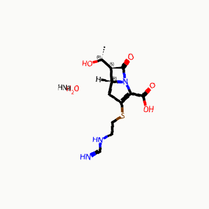 C[C@@H](O)[C@H]1C(=O)N2C(C(=O)O)=C(SCCNC=N)C[C@H]12.O.[NaH]